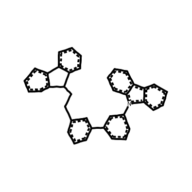 c1cc(CCC2c3ccccc3-c3ccccc32)cc(-c2cccc(-n3c4ccccc4c4ccccc43)c2)c1